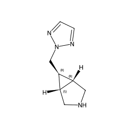 c1cnn(C[C@H]2[C@@H]3CNC[C@@H]32)n1